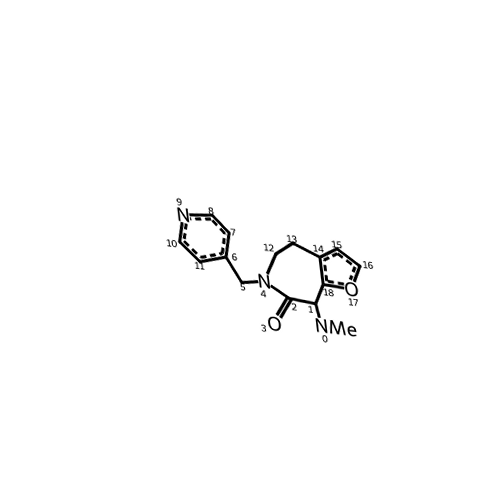 CNC1C(=O)N(Cc2ccncc2)CCc2ccoc21